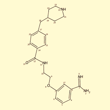 N=C(N)c1cccc(OCCNC(=O)c2ccc(CC3CCNCC3)cc2)c1